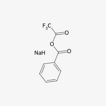 O=C(OC(=O)C(F)(F)F)c1ccccc1.[NaH]